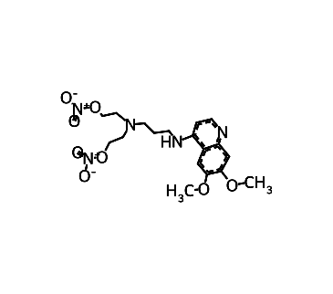 COc1cc2nccc(NCCCN(CCO[N+](=O)[O-])CCO[N+](=O)[O-])c2cc1OC